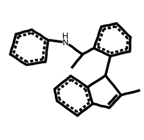 CC1=Cc2ccccc2C1c1ccccc1C(C)Nc1ccccc1